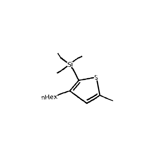 CCCCCCc1cc(C)sc1[Si](C)(C)C